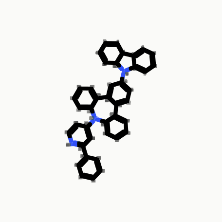 C1=CC2c3ccccc3N(c3ccc4c(c3)-c3ccccc3N(c3ccnc(-c5ccccc5)c3)c3ccccc3-4)C2C=C1